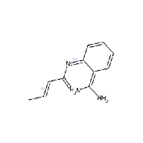 C=C(/C=C/C)/N=C1/C=CC=CC1=C(N)N